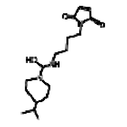 CC(C)C1CCN(C(O)NCCCCN2C(=O)C=CC2=O)CC1